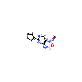 Nc1nc(C2CCCC2)ncc1[N+](=O)[O-]